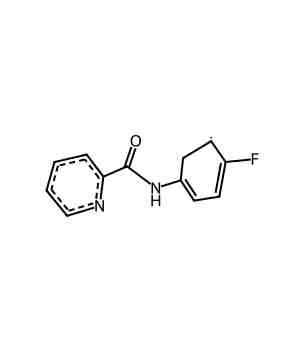 O=C(NC1=CC=C(F)[CH]C1)c1ccccn1